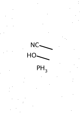 CC#N.CO.P